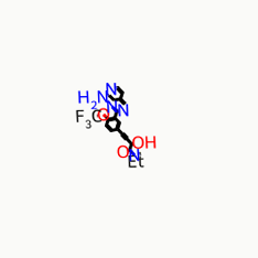 CCN(C)C(=O)[C@H](O)C#Cc1ccc(OC(F)(F)F)c(-c2ncc3ccnc(N)c3n2)c1